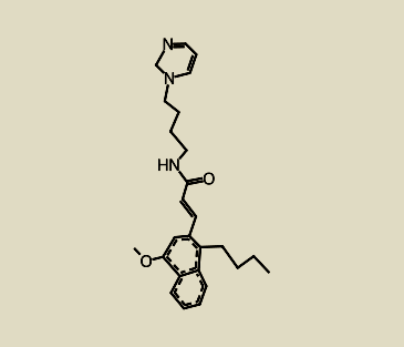 CCCCc1c(/C=C/C(=O)NCCCCN2C=CC=NC2)cc(OC)c2ccccc12